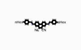 CCCCCCc1ccc(/C=C/c2ccc3c(c2)c(C#N)c(C#N)c2cc(/C=C/c4ccc(CCCCCC)cc4)ccc23)cc1